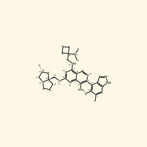 Cc1cc2[nH]ncc2c(-c2ncc3c(NCC4(N(C)C)CCC4)nc(OC[C@@]45CCCN4C[C@H](C)C5)nc3c2P)c1C